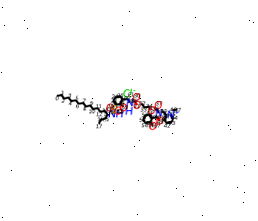 CCCCCCCCCCCCCCC(CCC)NS(=O)(=O)c1cccc(CNC(=O)OCCCOC(=O)N(Cc2cccc[n+]2CC)C(=O)c2ccccc2OC)c1OC.[Cl-]